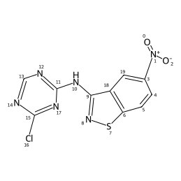 O=[N+]([O-])c1ccc2snc(Nc3ncnc(Cl)n3)c2c1